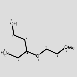 COCCOC(CN)CCO